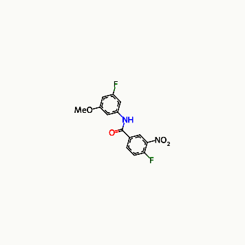 COc1cc(F)cc(NC(=O)c2ccc(F)c([N+](=O)[O-])c2)c1